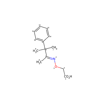 C/C(=N\OCC(=O)O)C(C)(C)c1ccccc1